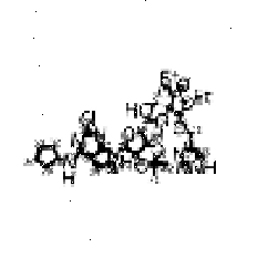 CCOP(=O)(OCC)[C@@](CO)(COCc1nn[nH]n1)OC[C@H]1OC(n2ncc3c(NC4CCCC4)nc(Cl)nc32)[C@@H]2OC(C)(C)O[C@H]12